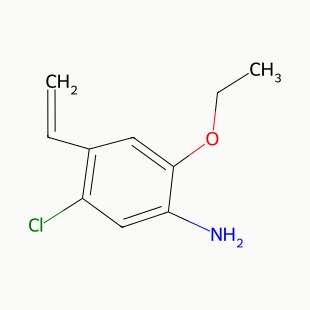 C=Cc1cc(OCC)c(N)cc1Cl